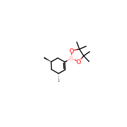 C[C@H]1CC(B2OC(C)(C)C(C)(C)O2)=C[C@H](C)C1